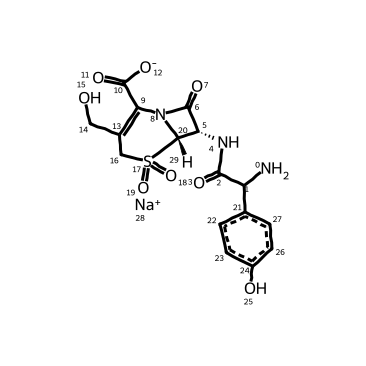 NC(C(=O)N[C@H]1C(=O)N2C(C(=O)[O-])=C(CO)CS(=O)(=O)[C@@H]12)c1ccc(O)cc1.[Na+]